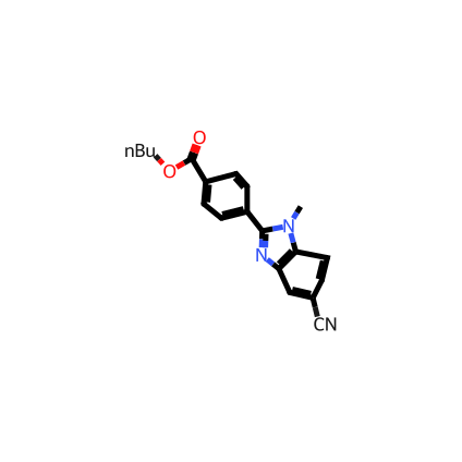 CCCCOC(=O)c1ccc(-c2nc3cc(C#N)ccc3n2C)cc1